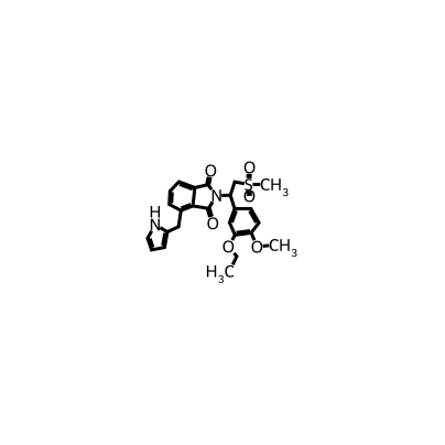 CCOc1cc(C(CS(C)(=O)=O)N2C(=O)c3cccc(Cc4ccc[nH]4)c3C2=O)ccc1OC